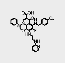 COc1ccc(CNc2c(F)c(NCCNc3ccccn3)c3c4c2c(=O)c(C(=O)O)cn4[C@H](c2ccccc2)CO3)cc1